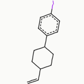 C=CC1CCC(c2ccc(I)cc2)CC1